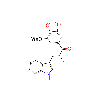 COc1cc(C(=O)C(C)=Cc2c[nH]c3ccccc23)cc2c1OCO2